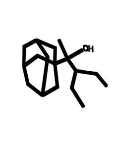 CCC(CC)C(C)(O)C12CC3CC(CC(C3)C1)C2